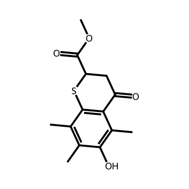 COC(=O)C1CC(=O)c2c(C)c(O)c(C)c(C)c2S1